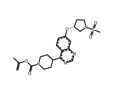 C=C(C)OC(=O)N1CCC(c2ncnc3cc(O[C@@H]4CCN(S(C)(=O)=O)C4)ccc23)CC1